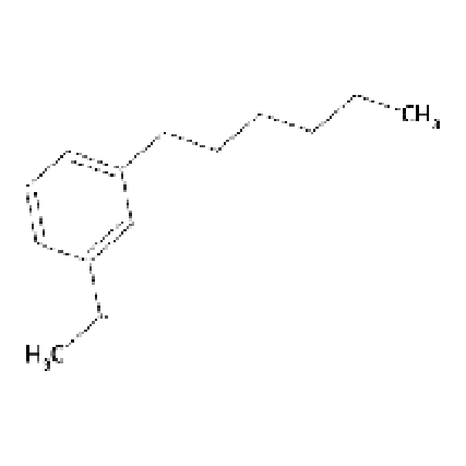 C[CH]c1cccc(CCCCCC)c1